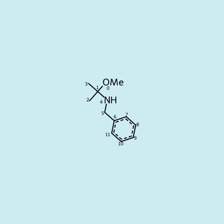 COC(C)(C)NCc1ccccc1